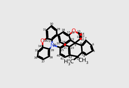 CC1(C)c2ccccc2C2(c3ccccc3Oc3ccccc32)c2cc(N3c4ccccc4Oc4ccccc43)ccc21